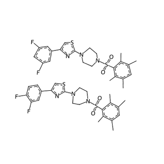 Cc1cc(C)c(C)c(S(=O)(=O)N2CCN(c3nc(-c4cc(F)cc(F)c4)cs3)CC2)c1C.Cc1cc(C)c(C)c(S(=O)(=O)N2CCN(c3nc(-c4ccc(F)c(F)c4)cs3)CC2)c1C